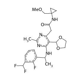 COCC1(NC(=O)Cc2nc(C)nc(NC(C)c3cccc(C(F)F)c3F)c2C2OCCO2)CC1